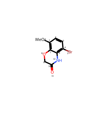 COc1ccc(Br)c2c1OCC(=O)N2